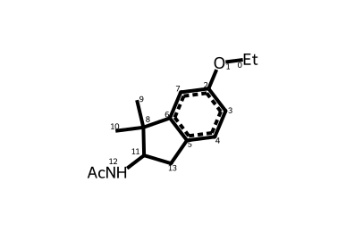 CCOc1ccc2c(c1)C(C)(C)C(NC(C)=O)C2